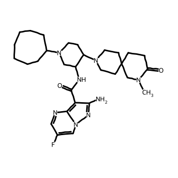 CN1CC2(CCC1=O)CCN(C1CCN(C3CCCCCCC3)CC1NC(=O)c1c(N)nn3cc(F)cnc13)CC2